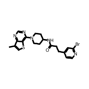 Cc1csc2c(N3CCC(NC(=O)CCc4ccnc(Br)c4)CC3)ncnc12